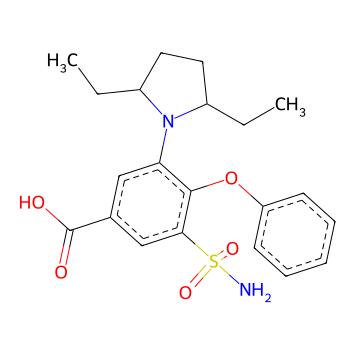 CCC1CCC(CC)N1c1cc(C(=O)O)cc(S(N)(=O)=O)c1Oc1ccccc1